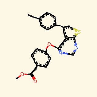 COC(=O)c1ccc(Oc2ncnc3scc(-c4ccc(C)cc4)c23)cc1